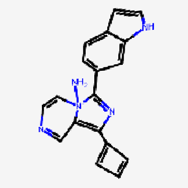 N[N+]12C=CN=CC1=C(C1=CC=C1)N=C2c1ccc2cc[nH]c2c1